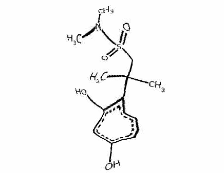 CN(C)S(=O)(=O)CC(C)(C)c1ccc(O)cc1O